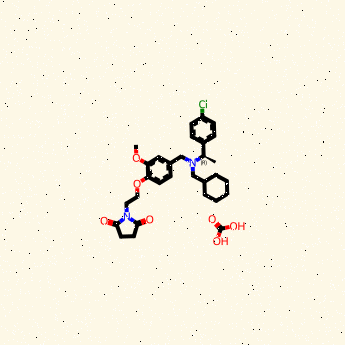 COc1cc(CN(CC2CCCCC2)[C@H](C)c2ccc(Cl)cc2)ccc1OCCN1C(=O)CCC1=O.O=C(O)O